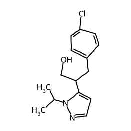 CC(C)n1nccc1C(CO)Cc1ccc(Cl)cc1